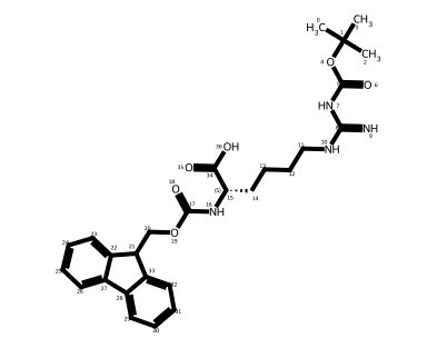 CC(C)(C)OC(=O)NC(=N)NCCCC[C@H](NC(=O)OCC1c2ccccc2-c2ccccc21)C(=O)O